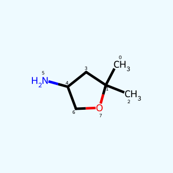 CC1(C)CC(N)CO1